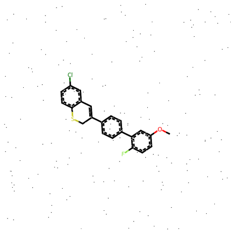 COc1ccc(F)c(-c2ccc(C3=Cc4cc(Cl)ccc4SC3)cc2)c1